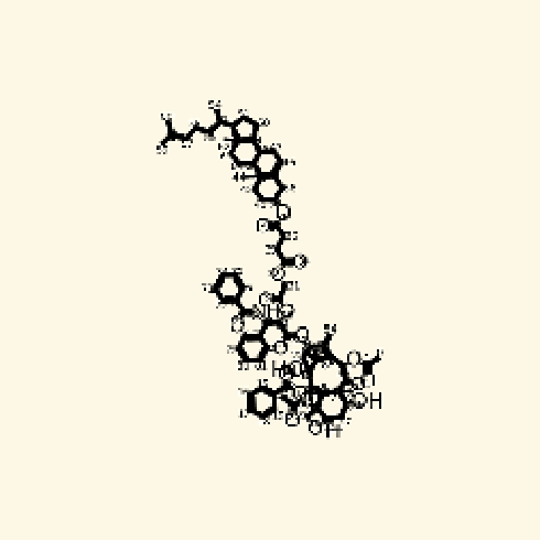 CC(=O)O[C@H]1C(=O)[C@@]2(C)[C@H]([C@H](OC(=O)c3ccccc3)[C@]3(O)C[C@H](OC(=O)[C@H](OC(=O)COC(=O)CCC(=O)O[C@H]4CC[C@@]5(C)C(=CCC6C7CCC(C(C)CCCC(C)C)[C@@]7(C)CCC65)C4)[C@@H](NC(=O)c4ccccc4)c4ccccc4)C(C)=C1C3(C)C)[C@]1(OC(C)=O)CO[C@@H]1C[C@@H]2O